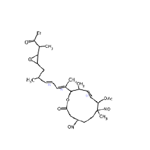 CCC(=O)C(C)C1OC1CC(C)/C=C/C=C(\C)C1OC(=O)CC(N=O)CCC(C)(N=O)C(OC(C)=O)/C=C/C1C